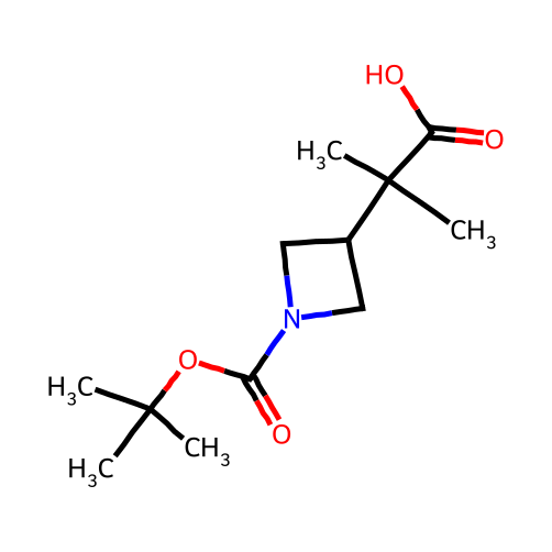 CC(C)(C)OC(=O)N1CC(C(C)(C)C(=O)O)C1